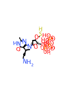 Cc1nc2c(c(C#CCN)cn2[C@H]2CC(OCS)[C@@H](COP(=O)(O)OP(=O)(O)OP(=O)(O)O)O2)c(=O)[nH]1